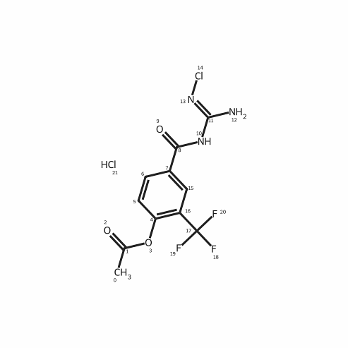 CC(=O)Oc1ccc(C(=O)NC(N)=NCl)cc1C(F)(F)F.Cl